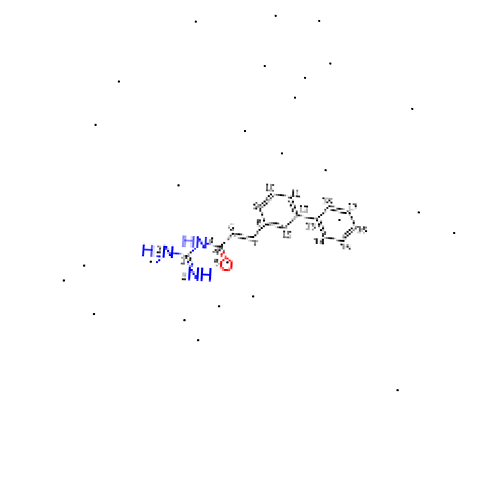 N=C(N)NC(=O)C=Cc1cccc(-c2ccccc2)c1